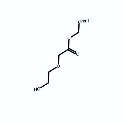 CCCCCCOC(=O)COCCO